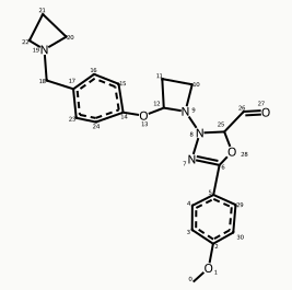 COc1ccc(C2=NN(N3CCC3Oc3ccc(CN4CCC4)cc3)C(C=O)O2)cc1